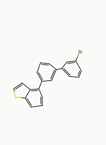 Brc1cccc(-c2cccc(-c3cccc4sccc34)c2)c1